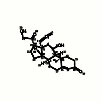 C=C=C[C@]12CC(O)[C@H]3[C@@H](CCC4=CC(=O)CC[C@@]43C)[C@@H]1CC[C@@H]2C(=O)CO